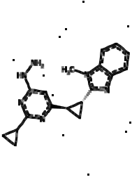 Cn1c([C@@H]2C[C@H]2c2cc(NN)nc(C3CC3)n2)nc2ccccc21